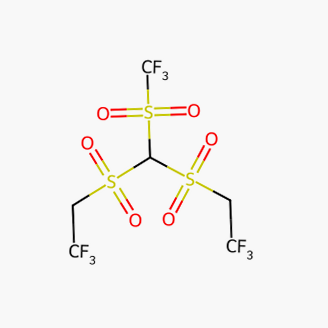 O=S(=O)(CC(F)(F)F)C(S(=O)(=O)CC(F)(F)F)S(=O)(=O)C(F)(F)F